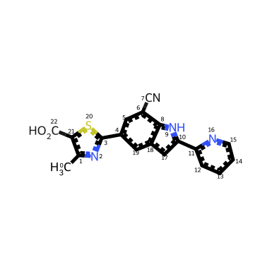 Cc1nc(-c2cc(C#N)c3[nH]c(-c4ccccn4)cc3c2)sc1C(=O)O